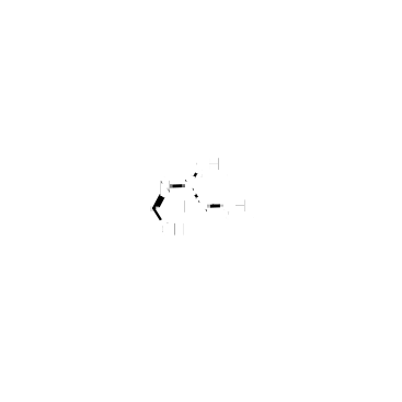 C/C=N\N(C)NC